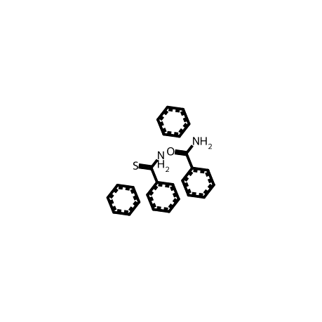 NC(=O)c1ccccc1.NC(=S)c1ccccc1.c1ccccc1.c1ccccc1